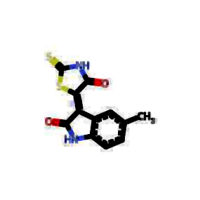 Cc1ccc2c(c1)/C(=C1/SC(=S)NC1=O)C(=O)N2